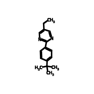 CCc1cnc(-c2ccc(C(C)(C)C)cc2)nc1